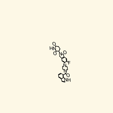 O=C1CCC(N2Cc3cc(N4CCN(C(=O)c5cccc6cc[nH]c56)CC4)c(F)cc3C2=O)C(=O)N1